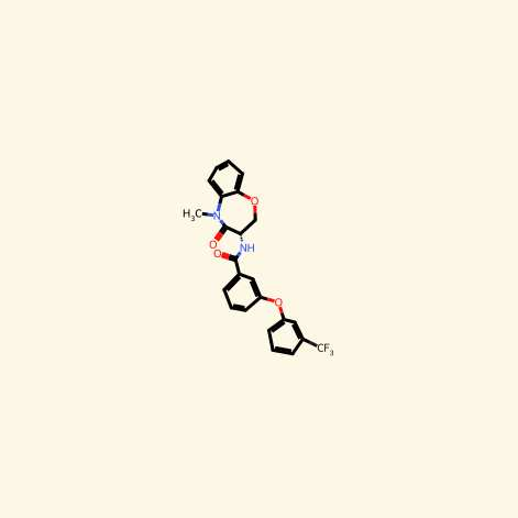 CN1C(=O)[C@@H](NC(=O)c2cccc(Oc3cccc(C(F)(F)F)c3)c2)COc2ccccc21